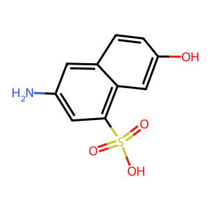 Nc1cc(S(=O)(=O)O)c2cc(O)ccc2c1